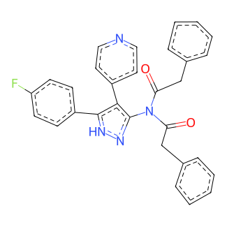 O=C(Cc1ccccc1)N(C(=O)Cc1ccccc1)c1n[nH]c(-c2ccc(F)cc2)c1-c1ccncc1